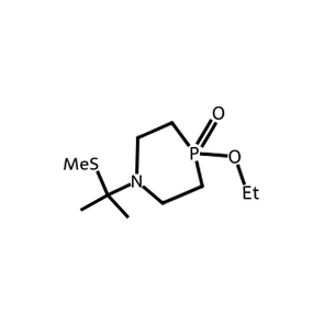 CCOP1(=O)CCN(C(C)(C)SC)CC1